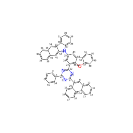 c1ccc(-c2nc(-c3cc4ccccc4c4ccccc34)nc(-c3cc(-n4c5ccccc5c5cc6ccccc6cc54)cc4c3oc3ccccc34)n2)cc1